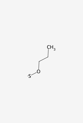 CCCO[S]